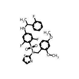 COc1ccc(CN(c2nccs2)S(=O)(=O)c2c(F)cc(NC(C)c3ccccc3F)cc2F)c(OC)c1